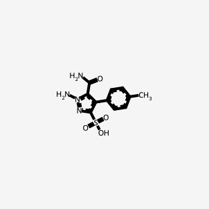 Cc1ccc(-c2c(S(=O)(=O)O)nn(N)c2C(N)=O)cc1